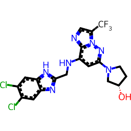 O[C@H]1CCN(c2cc(NCc3nc4cc(Cl)c(Cl)cc4[nH]3)c3ncc(C(F)(F)F)n3n2)C1